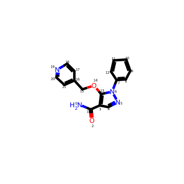 NC(=O)c1cnn(-c2ccccc2)c1OCc1ccncc1